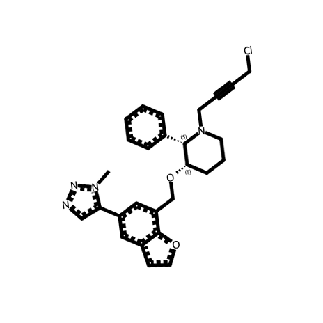 Cn1nncc1-c1cc(CO[C@H]2CCCN(CC#CCCl)[C@H]2c2ccccc2)c2occc2c1